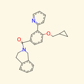 O=C(c1ccc(OCC2CC2)c(-c2ccccn2)c1)N1CCc2ccccc2C1